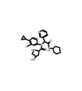 O=C(NC1CCCCC1)C(c1cccnc1)N(C(=O)C1CC(O)CN1)c1ccc(C2CC2)c(F)c1